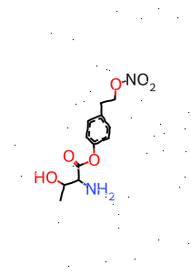 CC(O)C(N)C(=O)Oc1ccc(CCO[N+](=O)[O-])cc1